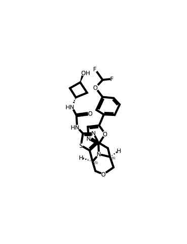 O=C(Nc1nc2c(s1)[C@@H]1COC[C@H](C2)N1c1ncc(-c2cccc(OC(F)F)c2)o1)N[C@H]1C[C@H](O)C1